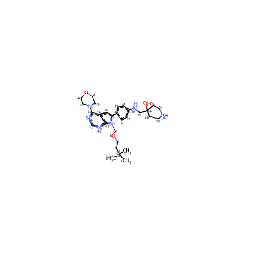 C[Si](C)(C)CCOCn1c(-c2ccc(NCC3(O)CCNCC3)cc2)cc2c(N3CCOCC3)ncnc21